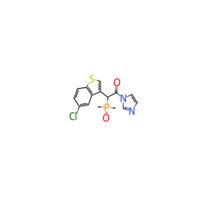 CP(C)(=O)C(C(=O)n1ccnc1)c1csc2ccc(Cl)cc12